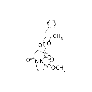 CCOP(=O)(CCCc1ccccc1)C[C@H]1CCC(=O)N2CCC[C@@H](C(=O)OC)N2C1=O